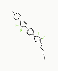 CCCCCCc1ccc(-c2ccc(-c3ccc(C4CCC(C)CC4)c(F)c3F)cc2)c(F)c1F